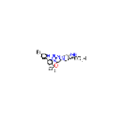 CCc1ccc(-c2ccc(C(Oc3cc(N4CCC5(CC4)CN[C@H](C(=O)O)C5)nc(N)n3)C(F)(F)F)cc2)cc1